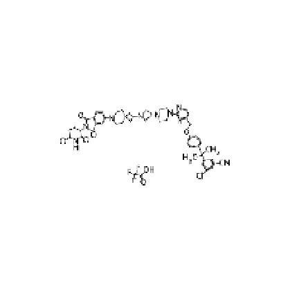 CC(C)(c1ccc(OCc2ccnc(N3CCN(C4CN(C5CC6(CCN(c7ccc8c(c7)C(=O)N(C7CCC(=O)NC7=O)C8=O)CC6)C5)C4)CC3)n2)cc1)c1cc(Cl)cc(C#N)c1.O=C(O)C(F)(F)F